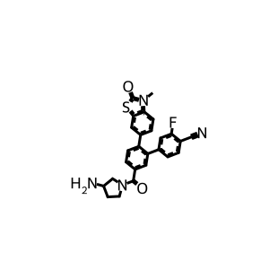 Cn1c(=O)sc2cc(-c3ccc(C(=O)N4CCC(N)C4)cc3-c3ccc(C#N)c(F)c3)ccc21